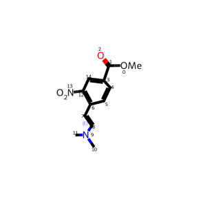 COC(=O)c1ccc(/C=C/N(C)C)c([N+](=O)[O-])c1